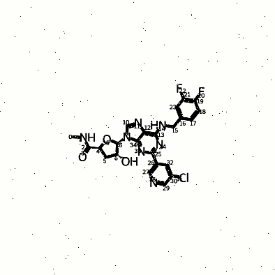 CNC(=O)[C@@H]1C[C@@H](O)[C@H](n2cnc3c(NCc4ccc(F)c(F)c4)nc(-c4cncc(Cl)c4)nc32)O1